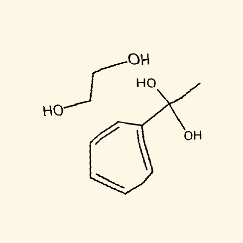 CC(O)(O)c1ccccc1.OCCO